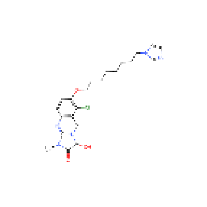 CN1C(=O)C(O)N2Cc3c(ccc(OCCCCCCCCn4ccnc4)c3Cl)N=C12